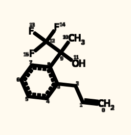 C=CCc1ccccc1C(C)(O)C(F)(F)F